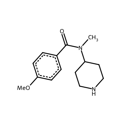 COc1ccc(C(=O)N(C)C2CCNCC2)cc1